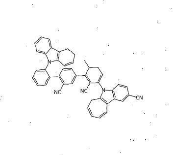 CC1CC=C(n2c3c(c4cc(C#N)ccc42)C=CC=CC3)C(C#N)=C1c1ccc(-c2ccccc2-n2c3c(c4ccccc42)CCC=C3)c(C#N)c1